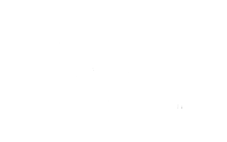 CC(Br)c1ccc(C(=O)Oc2ccccc2)cc1